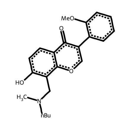 CCCCN(C)Cc1c(O)ccc2c(=O)c(-c3ccccc3OC)coc12